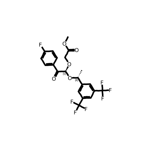 COC(=O)CO[C@@H](O[C@H](C)c1cc(C(F)(F)F)cc(C(F)(F)F)c1)C(=O)c1ccc(F)cc1